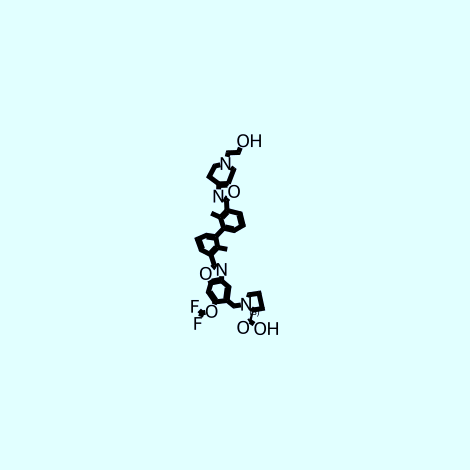 Cc1c(-c2nc3c(o2)CN(CCO)CC3)cccc1-c1cccc(-c2nc3cc(CN4CCC[C@H]4C(=O)O)c(OC(F)F)cc3o2)c1C